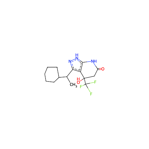 CC(c1n[nH]c2c1C(O)(C(F)(F)F)CC(=O)N2)C1CCCCC1